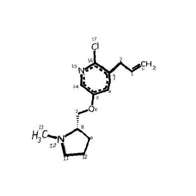 C=CCc1cc(OC[C@@H]2CCCN2C)cnc1Cl